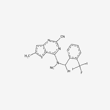 Cc1cc2nc(C#N)nc(N(C#N)C(c3ccccc3C(F)(I)I)C(C)C)c2s1